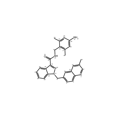 Cc1cnc2ccc(Cn3nc(C(=O)NCc4c(C)cc(N)nc4C)c4ccccc43)cc2c1